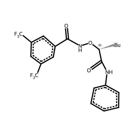 CCC(C)[C@@H](ONC(=O)c1cc(C(F)(F)F)cc(C(F)(F)F)c1)C(=O)Nc1ccccc1